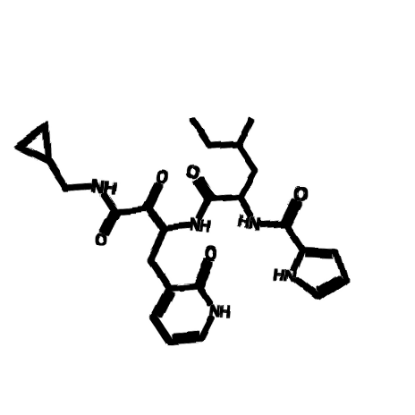 CCC(C)CC(NC(=O)c1ccc[nH]1)C(=O)NC(Cc1ccc[nH]c1=O)C(=O)C(=O)NCC1CC1